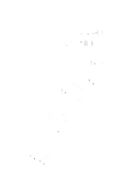 CN(c1nc2sc(-c3ccc(-c4cn[nH]c4)cc3)nc2s1)C1C[C@H]2CC[C@@H](C1)N2